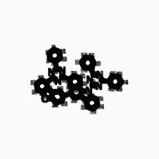 c1ccc(-c2nc(-c3ccccc3)nc(-c3cccc4oc5ccc(-c6ccc7c(c6)c6ccccc6n7-c6nc(-c7ccccc7)nc(-c7ccccc7)n6)cc5c34)n2)cc1